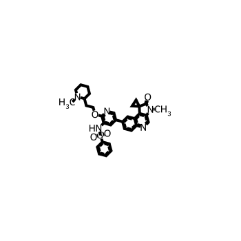 CN1C(=O)C2(CC2)c2c1cnc1ccc(-c3cnc(OCCC4CCCCN4C)c(NS(=O)(=O)c4ccccc4)c3)cc21